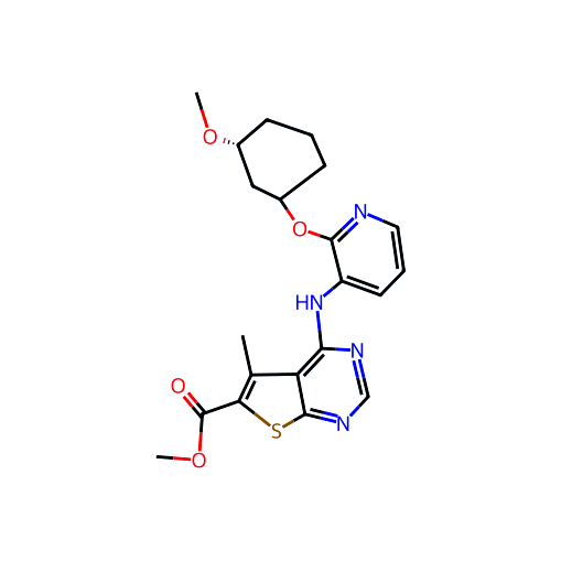 COC(=O)c1sc2ncnc(Nc3cccnc3OC3CCC[C@@H](OC)C3)c2c1C